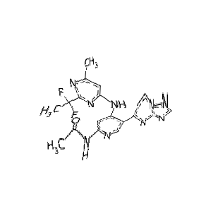 CC(=O)Nc1cc(Nc2cc(C)nc(C(C)(F)F)n2)c(-c2ccn3ncnc3n2)cn1